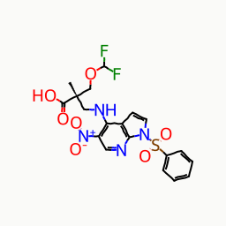 C[C@](CNc1c([N+](=O)[O-])cnc2c1ccn2S(=O)(=O)c1ccccc1)(COC(F)F)C(=O)O